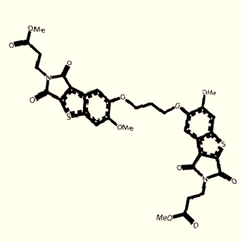 COC(=O)CCN1C(=O)c2sc3cc(OC)c(OCCCOc4cc5c6c(sc5cc4OC)C(=O)N(CCC(=O)OC)C6=O)cc3c2C1=O